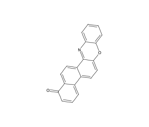 O=c1cccc2c1ccc1c2ccc2oc3ccccc3nc21